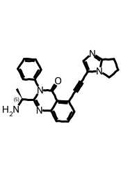 C[C@H](N)c1nc2cccc(C#Cc3cnc4n3CCC4)c2c(=O)n1-c1ccccc1